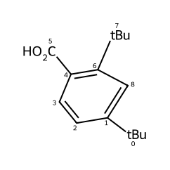 CC(C)(C)c1ccc(C(=O)O)c(C(C)(C)C)c1